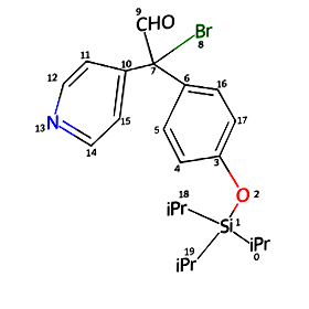 CC(C)[Si](Oc1ccc(C(Br)(C=O)c2ccncc2)cc1)(C(C)C)C(C)C